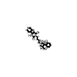 COc1cccc2c1[C@@H]1CN(CCCCn3c(=O)[nH]c4c(sc5cnccc54)c3=O)C[C@H]1CO2